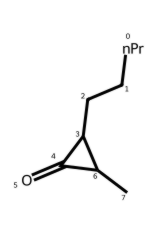 CCCCCC1C(=O)C1C